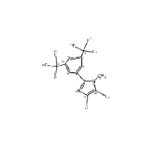 Cn1c(-c2cc(C(F)(F)F)cc(C(F)(F)F)c2)nc(I)c1I